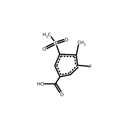 Cc1c(F)cc(C(=O)O)cc1S(C)(=O)=O